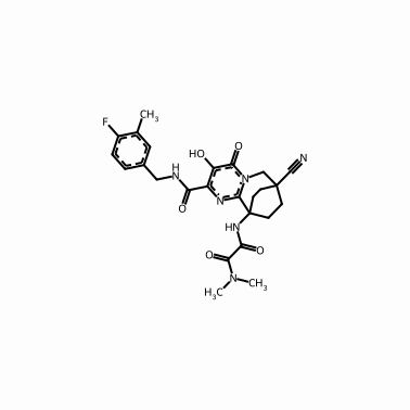 Cc1cc(CNC(=O)c2nc3n(c(=O)c2O)CC2(C#N)CCC3(NC(=O)C(=O)N(C)C)CC2)ccc1F